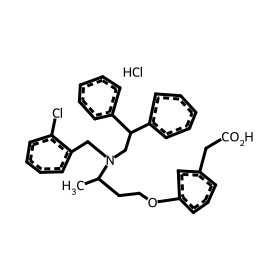 CC(CCOc1cccc(CC(=O)O)c1)N(Cc1ccccc1Cl)CC(c1ccccc1)c1ccccc1.Cl